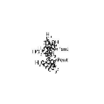 C=C(C)[C@@H]1CCC(C)=C[C@H]1c1c(O)cc(CCCCC)cc1OC(=O)C[N+](C)(CC(=O)O)CC(=O)Oc1cc(CCCCC)cc(O)c1[C@@H]1C=C(C)CC[C@H]1C(=C)C